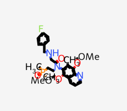 COCOc1c(N(CCP(C)(C)=O)C(=O)CNCc2ccc(F)cc2)c(C)c(OCOC)c2ncccc12